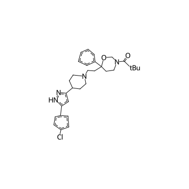 CC(C)(C)C(=O)N1CCC(CCN2CCC(c3cc(-c4ccc(Cl)cc4)[nH]n3)CC2)(c2ccccc2)OC1